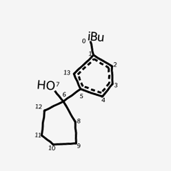 CCC(C)c1cccc(C2(O)CCCCC2)c1